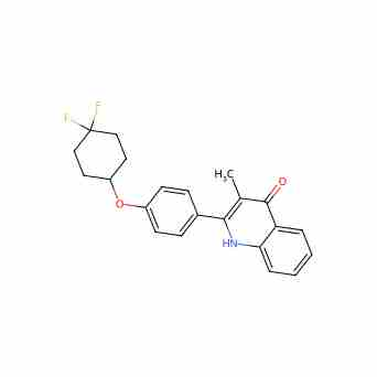 Cc1c(-c2ccc(OC3CCC(F)(F)CC3)cc2)[nH]c2ccccc2c1=O